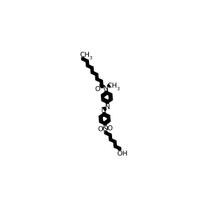 CCCCCCCCCC(=O)N(C)c1ccc(N=Nc2ccc(S(=O)(=O)CCCCCCO)cc2)cc1